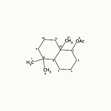 CC(=O)OC1CCCC2C(C)(C)CCCC12C